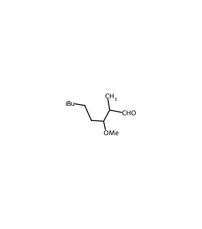 CCC(C)CCC(OC)C(C)C=O